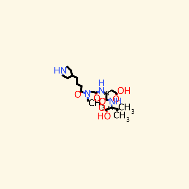 CCN(CC(=O)N[C@@H](CC(=O)O)C(=O)N[C@H](C(=O)O)C(C)C)C(=O)CCCC1CCNCC1